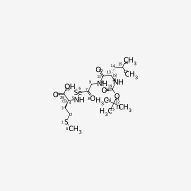 CSCC[C@H](N[Se]C(=O)CNC(=O)[C@H](CC(C)C)NC(=O)OC(C)(C)C)C(=O)O